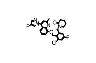 Cc1cc(-n2cc(F)cn2)c2cccc(OCc3c(Cl)cc(F)cc3[C@H](C)N3CCCCC3=O)c2n1